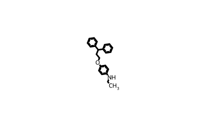 CCNc1ccc(OCCC(c2ccccc2)c2ccccc2)cc1